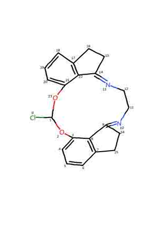 ClC1Oc2cccc3c2/C(=N/CC/N=C2\CCc4cccc(c42)O1)CC3